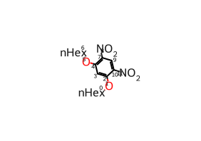 CCCCCCOc1cc(OCCCCCC)c([N+](=O)[O-])cc1[N+](=O)[O-]